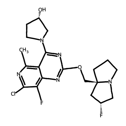 Cc1nc(Cl)c(F)c2nc(OC[C@@]34CCCN3C[C@H](F)C4)nc(N3CC[C@H](O)C3)c12